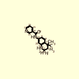 [2H]C1([2H])CC(C)(C)c2ccc(NC(=O)c3cccnc3)cc2N1